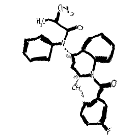 CC(C)C(=O)N(c1ccccc1)[C@H]1C[C@@H](C)N(C(=O)c2cccc(F)c2)c2ccccc21